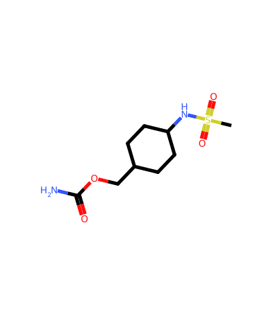 CS(=O)(=O)NC1CCC(COC(N)=O)CC1